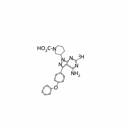 [2H]c1nc(N)c2c(-c3ccc(Oc4ccccc4)cc3)nn(C3CCCN(C(=O)O)C3)c2n1